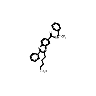 O=C(O)CCCCc1nc2cc(C(=O)N[C@H](c3ccccc3)C(F)(F)F)ccc2nc1-c1ccccc1